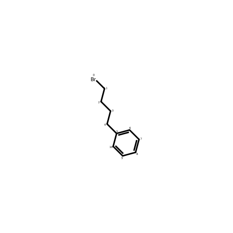 Br[CH]CCCc1ccccc1